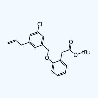 C=CCc1cc(Cl)cc(COc2ccccc2CC(=O)OC(C)(C)C)c1